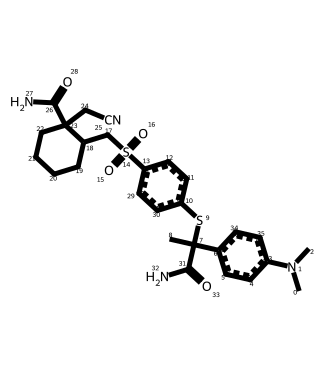 CN(C)c1ccc(C(C)(Sc2ccc(S(=O)(=O)CC3CCCCC3(CC#N)C(N)=O)cc2)C(N)=O)cc1